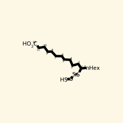 CCCCCCC(CCCCCCCCCCC(=O)O)SSSS